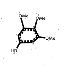 COc1cc([NH])cc(OC)c1OC